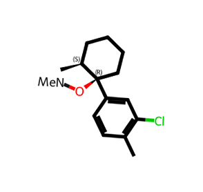 CNO[C@]1(c2ccc(C)c(Cl)c2)CCCC[C@@H]1C